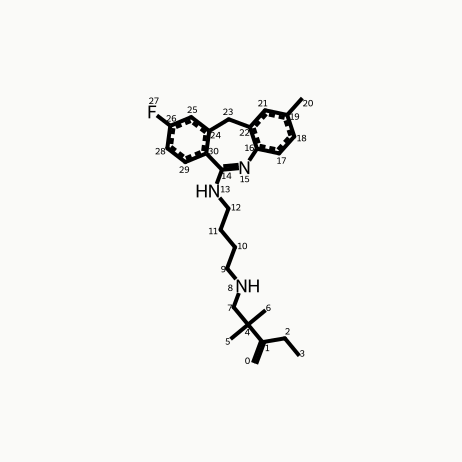 C=C(CC)C(C)(C)CNCCCCNC1=Nc2ccc(C)cc2Cc2cc(F)ccc21